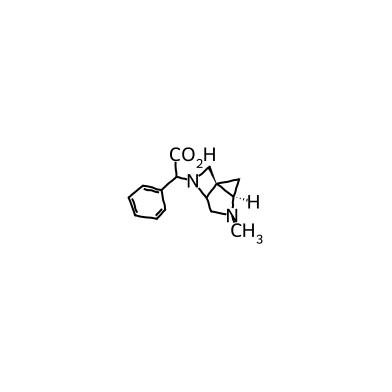 CN1CC2N(C(C(=O)O)c3ccccc3)C[C@]23C[C@@H]13